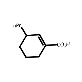 CCCC1C=C(C(=O)O)CCC1